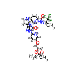 CC(NC(=O)c1ccc2c(n1)N(C(=O)Nc1ccc(OC[C@@H]3COC(C)(C)O3)cn1)[C@H]1CCN2C1)C(F)(F)F